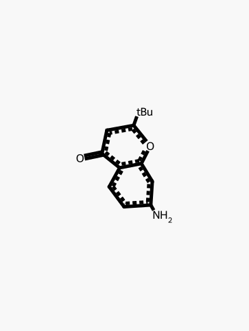 CC(C)(C)c1cc(=O)c2ccc(N)cc2o1